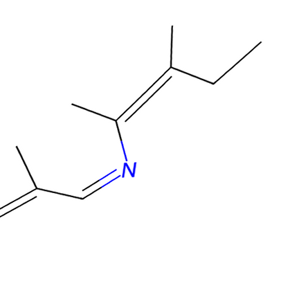 C\C=C(C)/C=N\C(C)=C(\C)CC